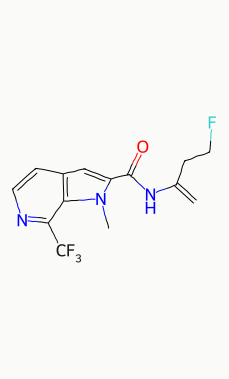 C=C(CCF)NC(=O)c1cc2ccnc(C(F)(F)F)c2n1C